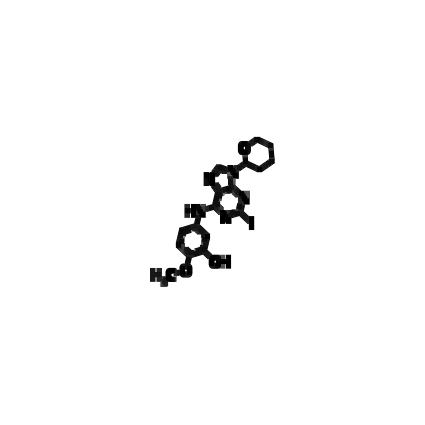 COc1ccc(Nc2nc(I)nc3c2ncn3C2CCCCO2)cc1O